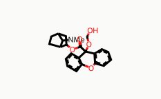 CNC1C2CCC1C(OC(=O)C1(OCO)c3ccccc3Oc3ccccc31)C2